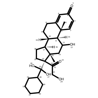 C[C@]12C=CC(=O)C=C1CC[C@@H]1[C@@H]2C(O)C[C@@]2(C)[C@H]1CC[C@@]2(C(=O)CO)C(O)(O)C1CCCCC1